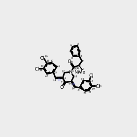 CN[C@H](Cc1ccccc1)C(=O)N1C/C(=C\c2ccc(Cl)c(Cl)c2)C(=O)/C(=C/c2ccc(Cl)c(Cl)c2)C1